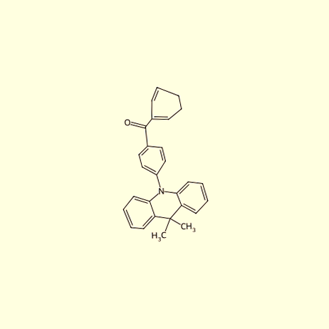 CC1(C)c2ccccc2N(c2ccc(C(=O)C3=CCCC=C3)cc2)c2ccccc21